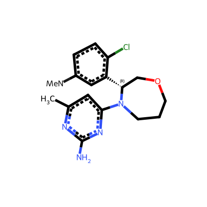 CNc1ccc(Cl)c([C@@H]2COCCCN2c2cc(C)nc(N)n2)c1